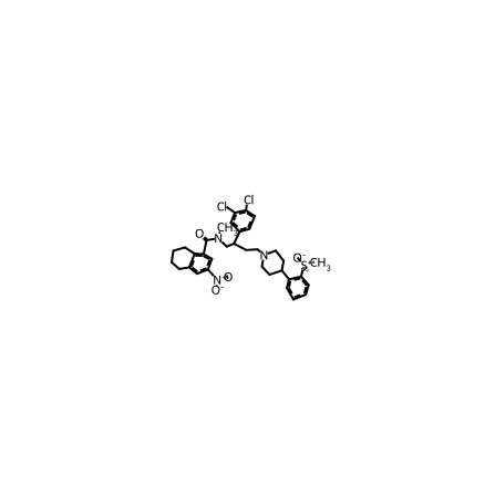 CN(CC(CCN1CCC(c2ccccc2[S@+](C)[O-])CC1)c1ccc(Cl)c(Cl)c1)C(=O)c1cc([N+](=O)[O-])cc2c1CCCC2